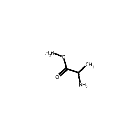 CC(N)C(=O)ON